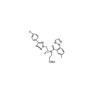 COCCN(C(=O)c1cc(C)ccc1-n1nccn1)[C@@H](C)Cn1nnc(-c2ccc(F)cc2)n1